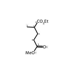 CCOC(=O)C(C)CCC(=O)OC